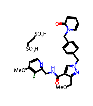 COCc1nn(Cc2ccc(Cn3ccccc3=O)cc2)cc1C(=O)NCc1nccc(OC)c1F.O=S(=O)(O)CCS(=O)(=O)O